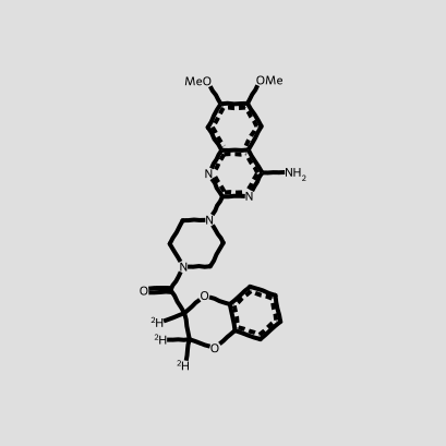 [2H]C1([2H])Oc2ccccc2OC1([2H])C(=O)N1CCN(c2nc(N)c3cc(OC)c(OC)cc3n2)CC1